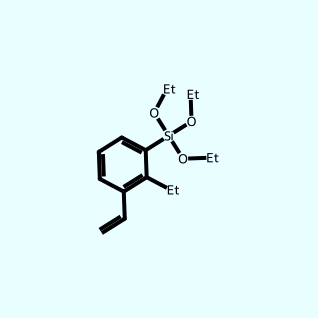 C=Cc1cccc([Si](OCC)(OCC)OCC)c1CC